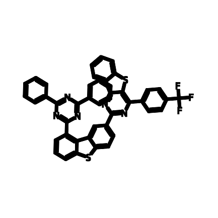 FC(F)(F)c1ccc(-c2nc(-c3ccc4sc5cccc(-c6nc(-c7ccccc7)nc(-c7ccccc7)n6)c5c4c3)nc3c2sc2ccccc23)cc1